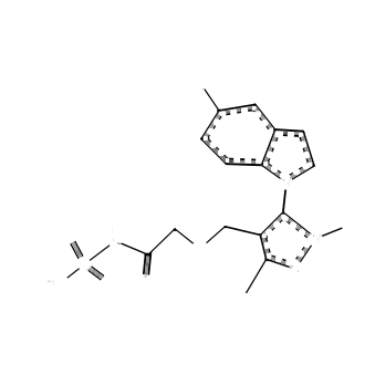 CCCCCS(=O)(=O)NC(=O)COCc1c(C)nn(C)c1-n1ccc2cc(Cl)ccc21